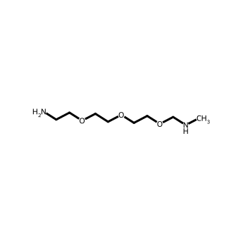 CNCOCCOCCOCCN